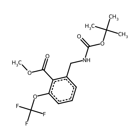 COC(=O)c1c(CNC(=O)OC(C)(C)C)cccc1OC(F)(F)F